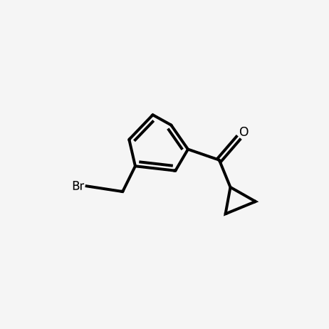 O=C(c1cccc(CBr)c1)C1CC1